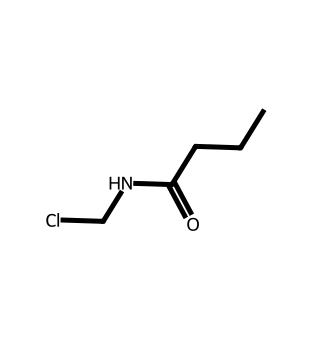 CCCC(=O)NCCl